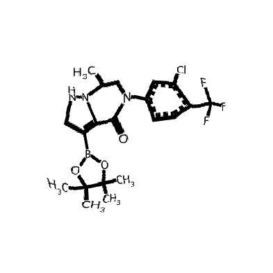 CC1CN(c2ccc(C(F)(F)F)c(Cl)c2)C(=O)C2=C(B3OC(C)(C)C(C)(C)O3)CNN21